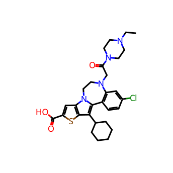 CCN1CCN(C(=O)CN2CCn3c(c(C4CCCCC4)c4sc(C(=O)O)cc43)-c3ccc(Cl)cc32)CC1